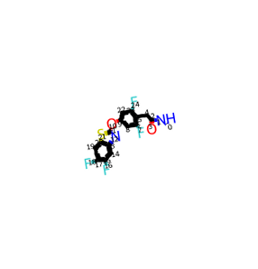 CNC(=O)Cc1c(F)cc(Oc2nc3cc(F)c(F)cc3s2)cc1F